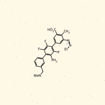 CC/N=N\c1cc(-c2c(F)c(F)c(-c3cccc(CNC)c3)c(P)c2F)cc(C(=O)O)c1C